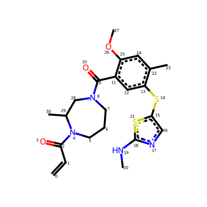 C=CC(=O)N1CCCN(C(=O)c2cc(Sc3cnc(NC)s3)c(C)cc2OC)CC1C